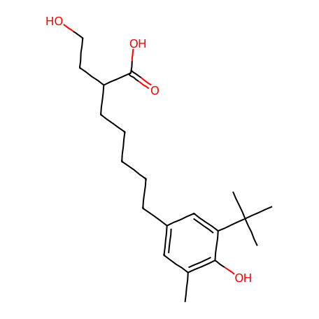 Cc1cc(CCCCCC(CCO)C(=O)O)cc(C(C)(C)C)c1O